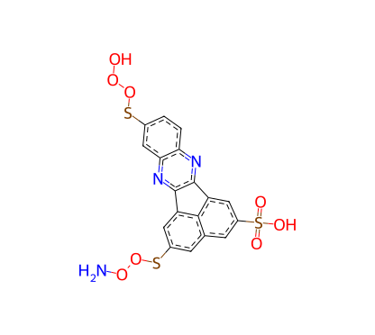 NOOSc1cc2c3c(cc(S(=O)(=O)O)cc3c1)-c1nc3ccc(SOOO)cc3nc1-2